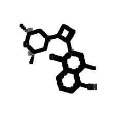 Cc1cn(C2=CCC2N2C[C@@H](C)O[C@@H](C)C2)c(=O)c2cccc(O)c12